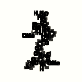 COCCC(=O)N[C@H](C(=O)N[C@@H](CCCNC(N)=O)CNc1cccc2cc(C(=O)Nc3ccc4oc(C(=O)N5C[C@@H](CCl)c6c5cc(OC(=O)N5CCN(C)CC5)c5[nH]c(C)c(C(=O)OC)c65)cc4c3)[nH]c12)C(C)C